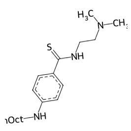 CCCCCCCCNc1ccc(C(=S)NCCN(C)C)cc1